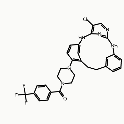 O=C(c1ccc(C(F)(F)F)cc1)N1CCN(c2ccc3cc2CCc2cccc(c2)Nc2ncc(Cl)c(n2)N3)CC1